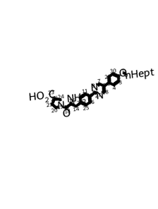 CCCCCCCOc1ccc(-c2cnc(-c3ccc(C[C@H](N)C(=O)N4CC[C@H](C(=O)O)C4)cc3)nc2)cc1